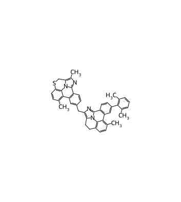 Cc1cccc(C)c1-c1ccc2c(c1)c1c(C)ccc3c1n1c(c(Cc4ccc5c(c4)c4c(C)ccc6c4n4c(c(C)nc54)CS6)nc21)CC3